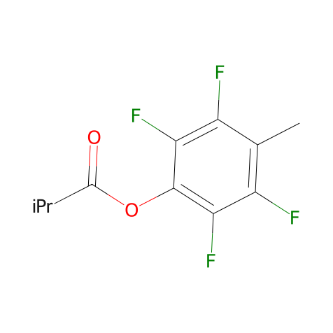 Cc1c(F)c(F)c(OC(=O)C(C)C)c(F)c1F